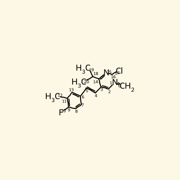 C=N/C=C(/C=C/c1ccc(F)c(C)c1)C(=N/CCl)\C(C)C